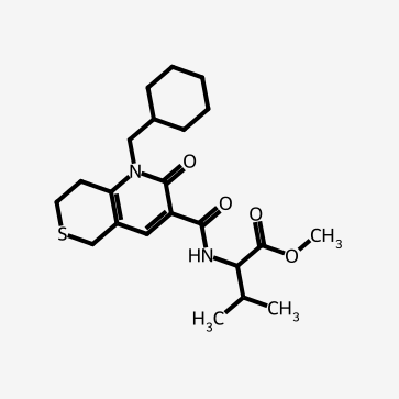 COC(=O)C(NC(=O)c1cc2c(n(CC3CCCCC3)c1=O)CCSC2)C(C)C